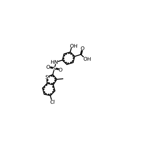 Cc1c(S(=O)(=O)Nc2ccc(C(=O)O)c(O)c2)sc2ccc(Cl)cc12